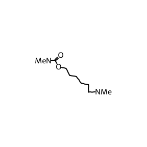 CNCCCCCCOC(=O)NC